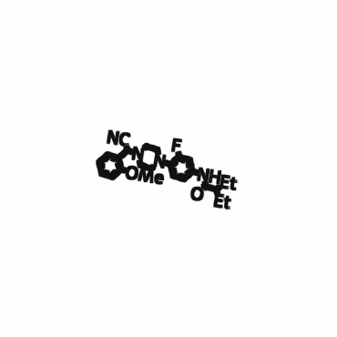 CCC(CC)C(=O)Nc1ccc(N2CCN(C(C#N)c3ccccc3OC)CC2)c(F)c1